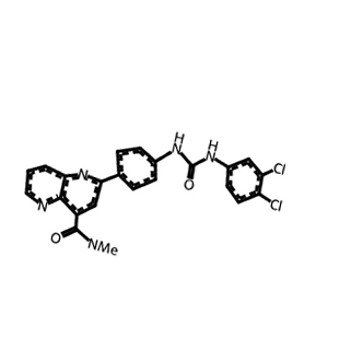 CNC(=O)c1cc(-c2ccc(NC(=O)Nc3ccc(Cl)c(Cl)c3)cc2)nc2cccnc12